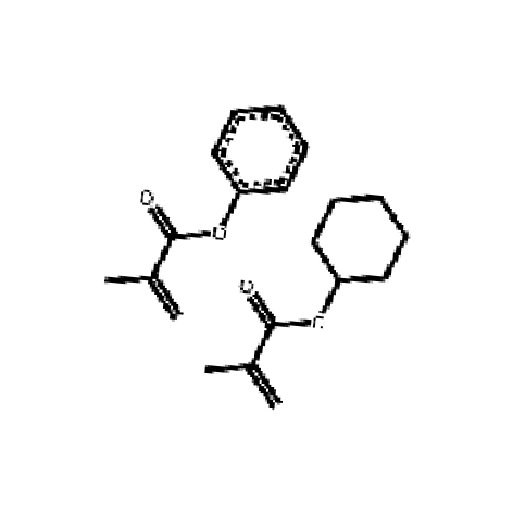 C=C(C)C(=O)OC1CCCCC1.C=C(C)C(=O)Oc1ccccc1